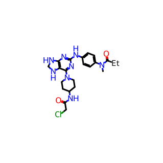 CCC(=O)N(C)c1ccc(Nc2nc3c(c(N4CCC(NC(=O)CCl)CC4)n2)NCN3)cc1